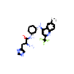 Cc1ccc2nc(C(F)(F)F)cc(N[C@H]3CCC[C@@H](NC(=O)C(N)Cc4c[nH]cn4)C3)c2c1